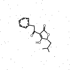 CC(C)CC1OC(=O)C(C(=O)Cc2ccccc2)=C1O